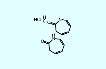 Cl.Cl.O=C1CC=CC=CN1.O=C1CC=CC=CN1